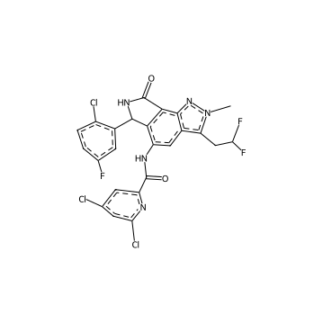 Cn1nc2c3c(c(NC(=O)c4cc(Cl)cc(Cl)n4)cc2c1CC(F)F)C(c1cc(F)ccc1Cl)NC3=O